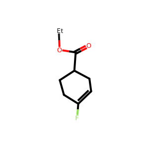 CCOC(=O)C1CC=C(F)CC1